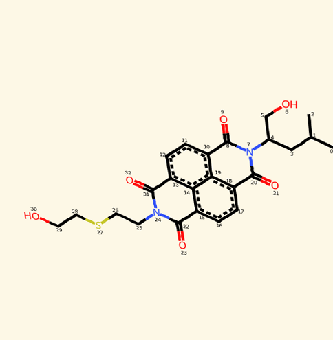 CC(C)CC(CO)N1C(=O)c2ccc3c4c(ccc(c24)C1=O)C(=O)N(CCSCCO)C3=O